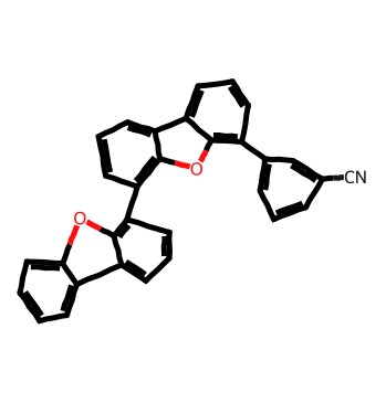 N#Cc1cccc(-c2cccc3c2oc2c(-c4cccc5c4oc4ccccc45)cccc23)c1